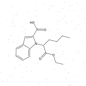 CCCCC(C(=O)OCC)n1c(C(=O)O)cc2ccccc21